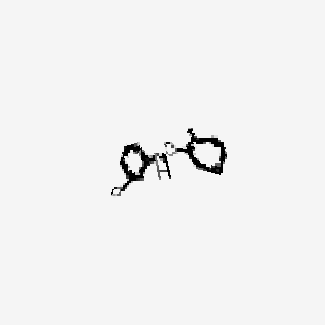 Cc1ccccc1ONc1cccc(Cl)c1